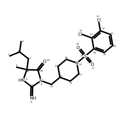 CC(C)CC1(C)NC(=N)N(CC2CCN(S(=O)(=O)c3cccc(Cl)c3Cl)CC2)C1=O